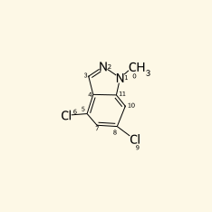 Cn1ncc2c(Cl)cc(Cl)cc21